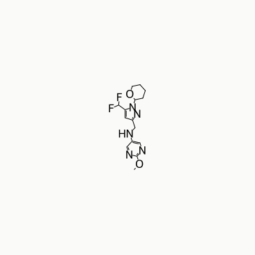 COc1ncc(NCc2cc(C(F)F)n(C3CCCCO3)n2)cn1